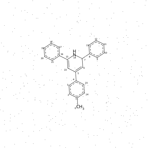 Cc1ccc(C2=CC(c3ccccc3)NC(c3ccccc3)=C2)cc1